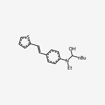 CCCCC(O)N(CC)c1ccc(/C=C/c2cccs2)cc1